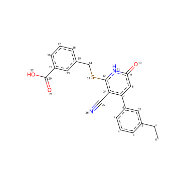 CCc1cccc(-c2cc(=O)[nH]c(SCc3cccc(C(=O)O)c3)c2C#N)c1